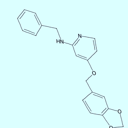 c1ccc(CNc2cc(OCc3ccc4c(c3)OCO4)ccn2)cc1